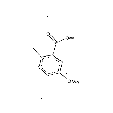 COC(=O)c1cc(OC)cnc1C